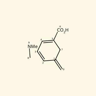 C=C1C=CC=C(C(=O)O)C1.CNC